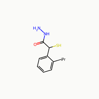 CC(C)c1ccccc1C(S)C(=O)NN